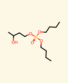 CCCCOP(=O)(OCCCC)OCCC(C)O